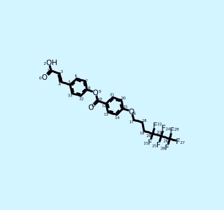 O=C(O)/C=C/c1ccc(OC(=O)c2ccc(OCCCC(F)(F)C(F)(F)C(F)(F)F)cc2)cc1